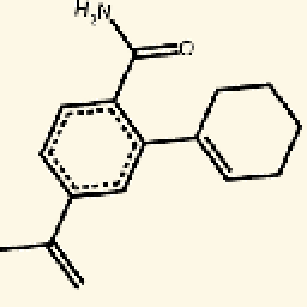 C=C(C)c1ccc(C(N)=O)c(C2=CCCCC2)c1